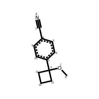 COC1(c2ccc(C#N)cc2)CCC1